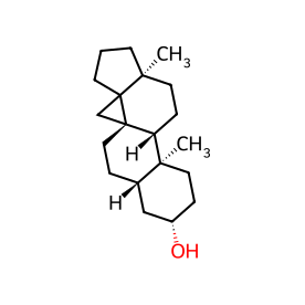 C[C@]12CC[C@H](O)C[C@@H]1CC[C@@]13CC14CCC[C@@]4(C)CC[C@H]23